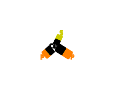 [P]#[Cu](#[P])=[S]